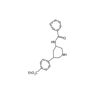 CCOC(=O)c1ccc(C2CNCC(NC(=O)c3ccccc3)C2)cc1